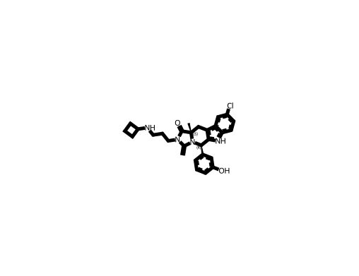 C=C1N(CCCNC2CCC2)C(=O)[C@]2(C)Cc3c([nH]c4ccc(Cl)cc34)[C@@H](c3cccc(O)c3)N12